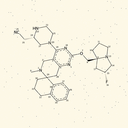 CN1Cc2c(nc(OC[C@@]34CCCN3C[C@H](F)C4)nc2N2CCN[C@@H](CC#N)C2)CC12CCCc1ccccc12